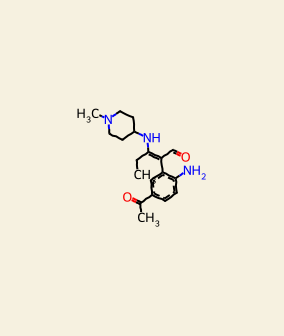 CC/C(NC1CCN(C)CC1)=C(/C=O)c1cc(C(C)=O)ccc1N